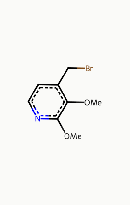 COc1nccc(CBr)c1OC